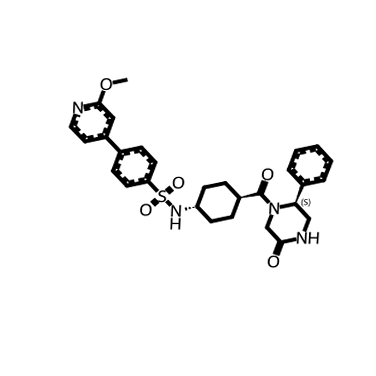 COc1cc(-c2ccc(S(=O)(=O)N[C@H]3CC[C@H](C(=O)N4CC(=O)NC[C@@H]4c4ccccc4)CC3)cc2)ccn1